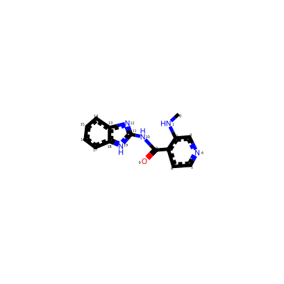 CNc1cnccc1C(=O)Nc1nc2ccccc2[nH]1